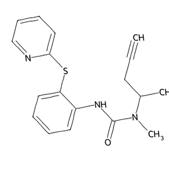 C#CCC(C)N(C)C(=O)Nc1ccccc1Sc1ccccn1